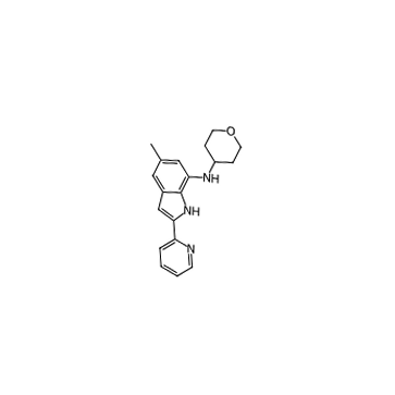 Cc1cc(NC2CCOCC2)c2[nH]c(-c3ccccn3)cc2c1